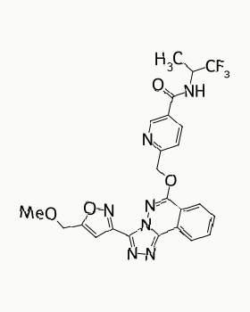 COCc1cc(-c2nnc3c4ccccc4c(OCc4ccc(C(=O)NC(C)C(F)(F)F)cn4)nn23)no1